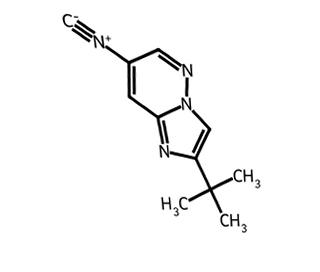 [C-]#[N+]c1cnn2cc(C(C)(C)C)nc2c1